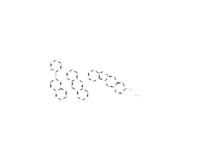 CCCCc1ccc2cc3c(cc2c1)oc1ccc(-c2c4ccccc4c(-c4cccc5ccc(-c6ccccc6)cc45)c4ccccc24)cc13